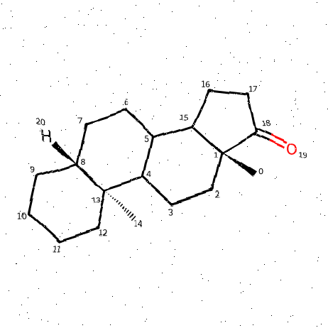 C[C@@]12CCC3C(CC[C@H]4CCCC[C@]34C)C1CCC2=O